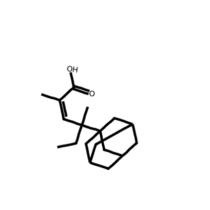 CCC(C)(C=C(C)C(=O)O)C12CC3CC(CC(C3)C1)C2